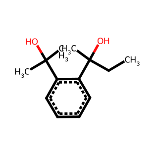 CCC(C)(O)c1ccccc1C(C)(C)O